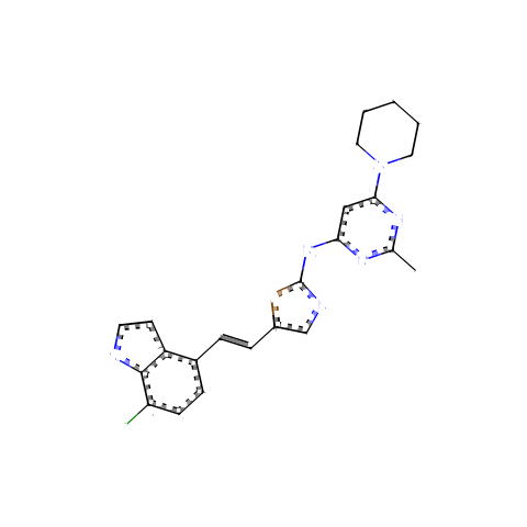 Cc1nc(Nc2ncc(/C=C/c3ccc(Cl)c4[nH]ccc34)s2)cc(N2CCCCC2)n1